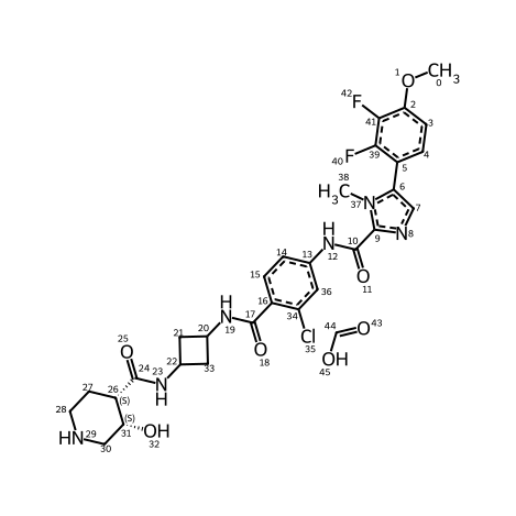 COc1ccc(-c2cnc(C(=O)Nc3ccc(C(=O)NC4CC(NC(=O)[C@H]5CCNC[C@H]5O)C4)c(Cl)c3)n2C)c(F)c1F.O=CO